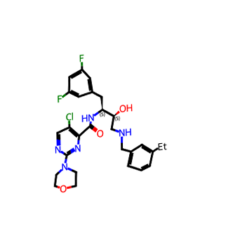 CCc1cccc(CNC[C@H](O)[C@H](Cc2cc(F)cc(F)c2)NC(=O)c2nc(N3CCOCC3)ncc2Cl)c1